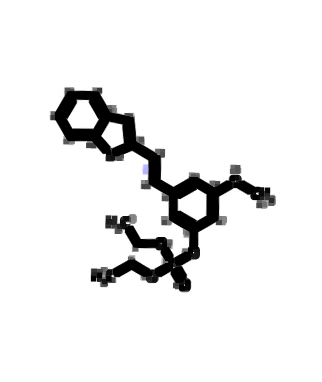 CCOP(=O)(OCC)Oc1cc(/C=C/c2cc3ccccc3s2)cc(OC)c1